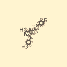 COc1ccc(Cn2cnc(O)c3nc(C(C)(C)OCc4ccc(F)cc4)nc2-3)cc1